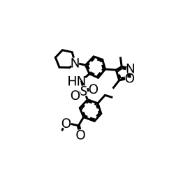 CCc1ccc(C(=O)OC)cc1S(=O)(=O)Nc1cc(-c2c(C)noc2C)ccc1N1CCCCC1